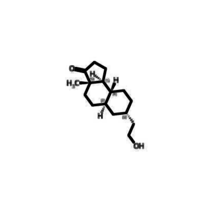 C[C@]12CC[C@@H]3C[C@@H](CCO)CC[C@H]3[C@@H]1CCC2=O